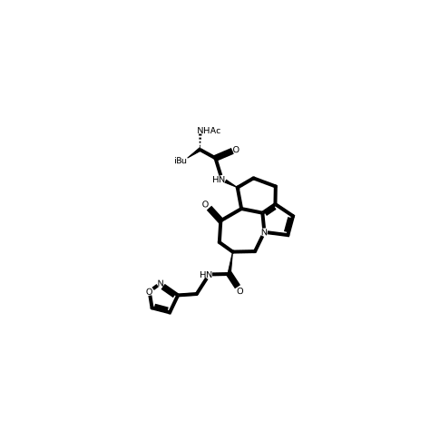 CC[C@H](C)[C@H](NC(C)=O)C(=O)N[C@H]1CCc2ccn3c2C1C(=O)C[C@H](C(=O)NCc1ccon1)C3